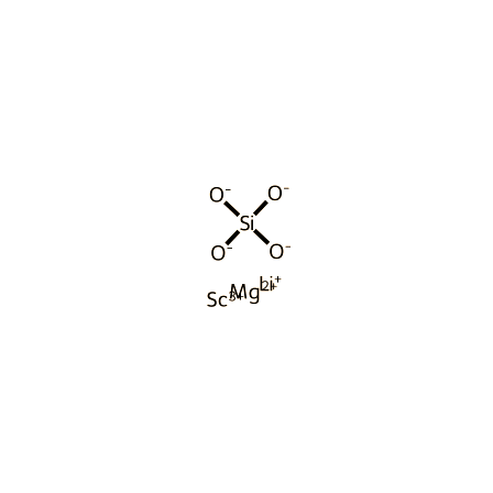 [Li+].[Mg+2].[O-][Si]([O-])([O-])[O-].[Sc+3]